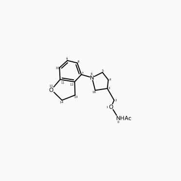 CC(=O)NOCC1CCN(c2cccc3c2CCO3)C1